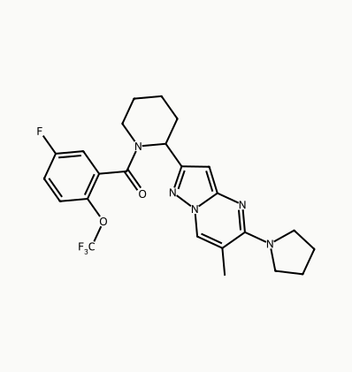 Cc1cn2nc(C3CCCCN3C(=O)c3cc(F)ccc3OC(F)(F)F)cc2nc1N1CCCC1